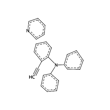 C#Cc1ccccc1N(c1ccccc1)c1ccccc1.c1ccncc1